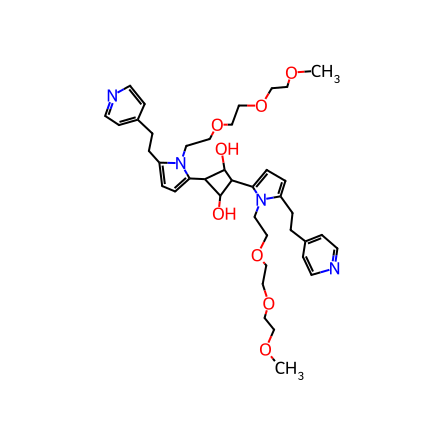 COCCOCCOCCn1c(CCc2ccncc2)ccc1C1C(O)C(c2ccc(CCc3ccncc3)n2CCOCCOCCOC)C1O